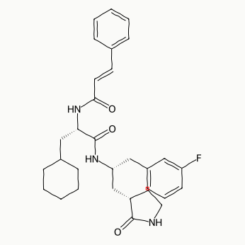 O=C(C=Cc1ccccc1)N[C@@H](CC1CCCCC1)C(=O)N[C@H](Cc1cccc(F)c1)C[C@@H]1CCNC1=O